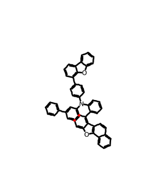 c1ccc(-c2cccc(N(c3ccc(-c4cccc5c4oc4ccccc45)cc3)c3ccccc3-c3cccc4oc5c6ccccc6ccc5c34)c2)cc1